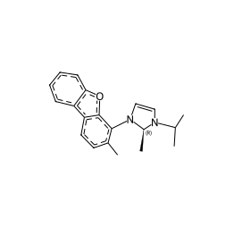 Cc1ccc2c(oc3ccccc32)c1N1C=CN(C(C)C)[C@H]1C